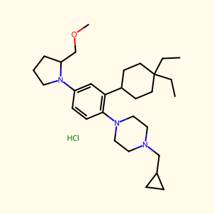 CCC1(CC)CCC(c2cc(N3CCCC3COC)ccc2N2CCN(CC3CC3)CC2)CC1.Cl